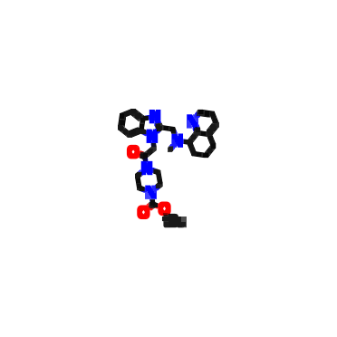 CN(Cc1nc2ccccc2n1CC(=O)N1CCN(C(=O)OC(C)(C)C)CC1)C1CCCc2cccnc21